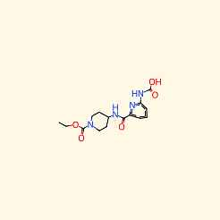 CCOC(=O)N1CCC(NC(=O)c2cccc(NC(=O)O)n2)CC1